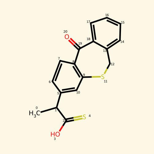 CC(C(O)=S)c1ccc2c(c1)SCc1ccccc1C2=O